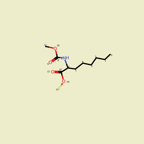 CCCCCCC(NC(=O)OC)C(=O)OF